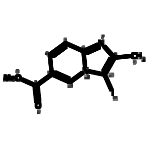 COC(=O)c1ccc2nc(C)c(I)n2c1